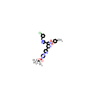 Cc1ccc(S(=O)(=O)n2cc(-c3cnn(Cc4cccc(Cl)c4)c3)c3cc(-c4ccc(N5CCN(C(=O)OC(C)(C)C)CC5)nc4)cnc32)cc1